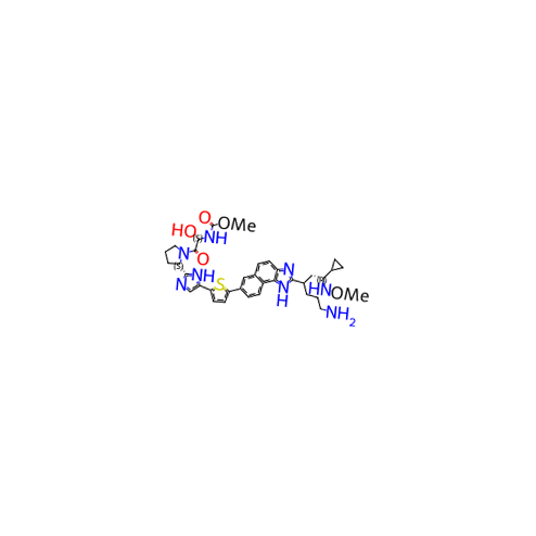 CON[C@H](CC(CCCN)c1nc2ccc3cc(-c4ccc(-c5cnc([C@@H]6CCCN6C(=O)[C@H](O)NC(=O)OC)[nH]5)s4)ccc3c2[nH]1)C1CC1